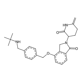 C=C1CCC(N2Cc3c(OCc4ccc(CNC(C)(C)C)cc4)cccc3C2=O)C(=O)N1